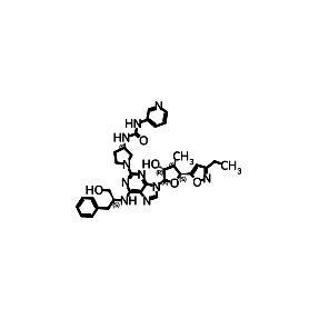 CCc1cc([C@H]2O[C@@H](n3cnc4c(N[C@H](CO)Cc5ccccc5)nc(N5CC[C@H](NC(=O)Nc6cccnc6)C5)nc43)[C@H](O)[C@@H]2C)on1